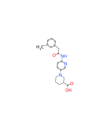 Cc1cccc(CC(=O)Nc2ccc(N3CCCC(C(=O)O)C3)cn2)c1